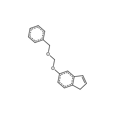 C1=Cc2cc(OCOCc3ccccc3)ccc2C1